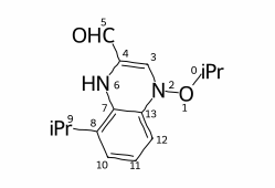 CC(C)ON1C=C(C=O)Nc2c(C(C)C)cccc21